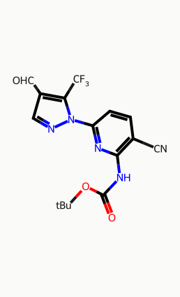 CC(C)(C)OC(=O)Nc1nc(-n2ncc(C=O)c2C(F)(F)F)ccc1C#N